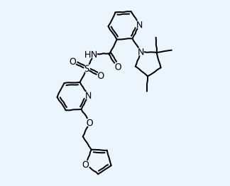 CC1CN(c2ncccc2C(=O)NS(=O)(=O)c2cccc(OCc3ccco3)n2)C(C)(C)C1